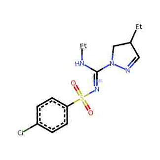 CCN/C(=N\S(=O)(=O)c1ccc(Cl)cc1)N1CC(CC)C=N1